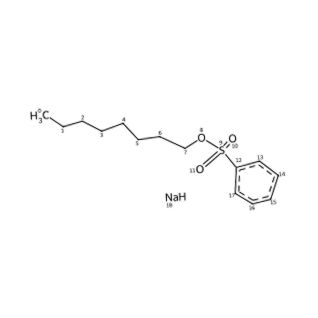 CCCCCCCCOS(=O)(=O)c1ccccc1.[NaH]